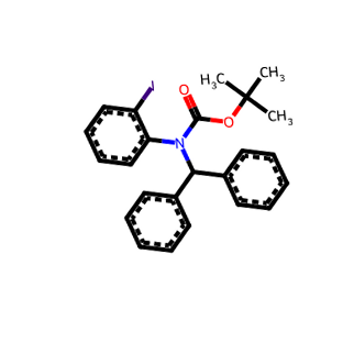 CC(C)(C)OC(=O)N(c1ccccc1I)C(c1ccccc1)c1ccccc1